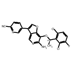 C[C@@H](Oc1c(N)ncc2c(-c3ccc(C#N)nc3)coc12)c1c(Cl)ccc(F)c1Cl